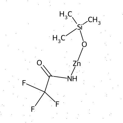 C[Si](C)(C)[O][Zn][NH]C(=O)C(F)(F)F